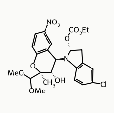 CCOC(=O)O[C@@H]1Cc2cc(Cl)ccc2N1[C@@H]1c2cc([N+](=O)[O-])ccc2O[C@](C)(C(OC)OC)[C@H]1O